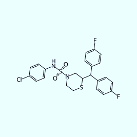 O=S(=O)(Nc1ccc(Cl)cc1)N1CCSC(C(c2ccc(F)cc2)c2ccc(F)cc2)C1